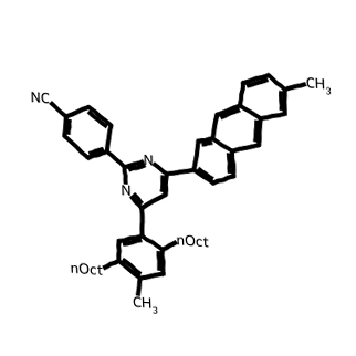 CCCCCCCCc1cc(-c2cc(-c3ccc4cc5cc(C)ccc5cc4c3)nc(-c3ccc(C#N)cc3)n2)c(CCCCCCCC)cc1C